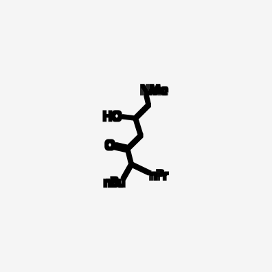 CCCCC(CCC)C(=O)CC(O)CNC